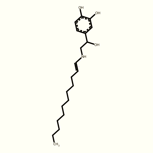 CCCCCCCCCC/C=C/NCC(O)c1ccc(O)c(O)c1